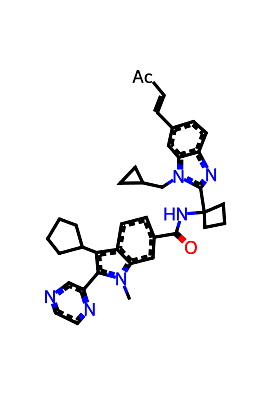 CC(=O)/C=C/c1ccc2nc(C3(NC(=O)c4ccc5c(C6CCCC6)c(-c6cnccn6)n(C)c5c4)CCC3)n(CC3CC3)c2c1